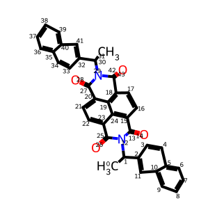 CC(c1ccc2ccccc2c1)N1C(=O)c2ccc3c4c(ccc(c24)C1=O)C(=O)N(C(C)c1ccc2ccccc2c1)C3=O